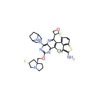 N#Cc1c(-c2c(F)ccc3sc(N)c(F)c23)c(C2COC2)nc2c(N3CC4CCC(C3)N4)nc(OC[C@@]34CCCN3C[C@H](F)C4)nc12